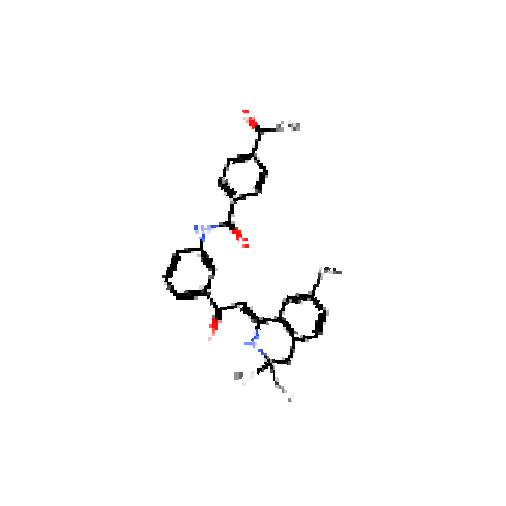 COC(=O)c1ccc(C(=O)Nc2cccc(C(=O)C=C3NC(C)(C)Cc4ccc(OC)cc43)c2)cc1